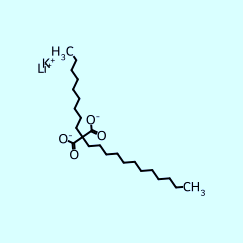 CCCCCCCCCCCCC(CCCCCCCCC)(C(=O)[O-])C(=O)[O-].[K+].[Li+]